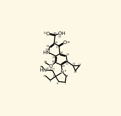 CCC1(CNC)CCCN1c1c(C2CC2)cc2c(=O)c(C(=O)O)c[nH]c2c1OC